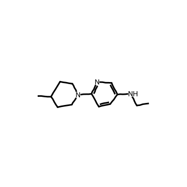 CCNc1ccc(N2CCC(C)CC2)nc1